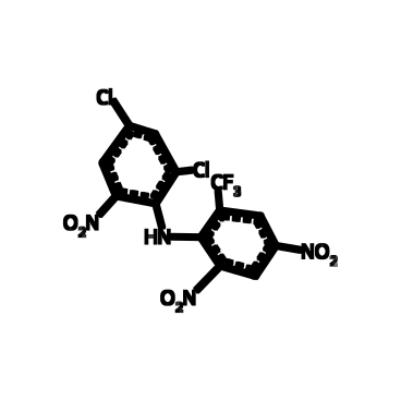 O=[N+]([O-])c1cc([N+](=O)[O-])c(Nc2c(Cl)cc(Cl)cc2[N+](=O)[O-])c(C(F)(F)F)c1